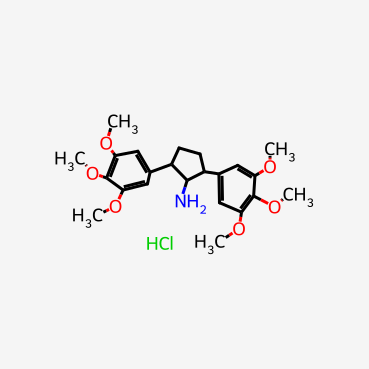 COc1cc(C2CCC(c3cc(OC)c(OC)c(OC)c3)C2N)cc(OC)c1OC.Cl